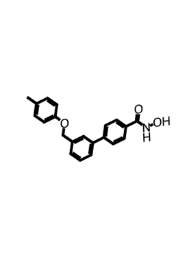 Cc1ccc(OCc2cccc(-c3ccc(C(=O)NO)cc3)c2)cc1